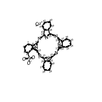 O=S(=O)([O-])c1cccc2c3nc4nc(nc5[nH]c(nc6nc(nc([nH]3)c12)-c1ccccc1-6)c1ccccc51)-c1ccccc1-4.[Cu+]